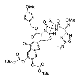 CO/N=C(\C(=O)NC1(C=S)C(=O)N2C(C(=O)OCc3ccc(OC)cc3)=C(c3cc(=O)c4cc(OC(=O)OC(C)(C)C)c(OC(=O)OC(C)(C)C)cc4s3)CS[C@H]21)c1nsc(N)n1